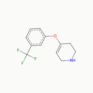 FC(F)(F)c1cccc(OC2=CCNCC2)c1